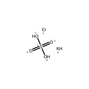 O=S(=O)(O)O.[Cr].[KH]